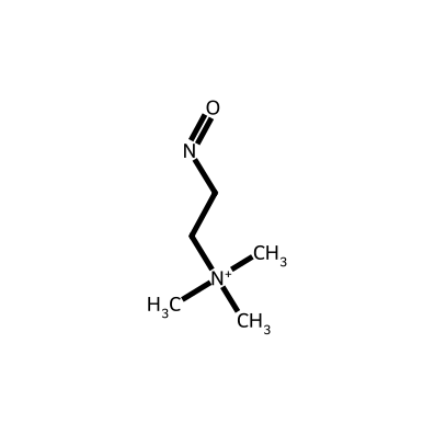 C[N+](C)(C)CCN=O